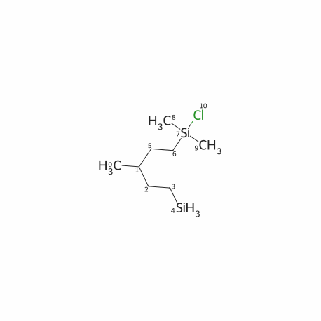 CC(CC[SiH3])CC[Si](C)(C)Cl